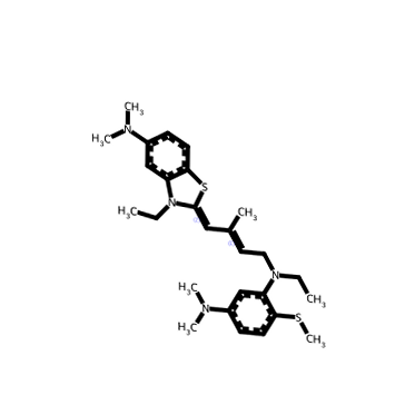 CCN(C/C=C(C)/C=C1\Sc2ccc(N(C)C)cc2N1CC)c1cc(N(C)C)ccc1SC